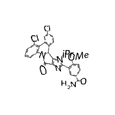 COc1ccc(C(N)=O)cc1-c1nc2c(n1C(C)C)C1c3ccc(Cl)cc3-c3c(Cl)cccc3N1C2=O